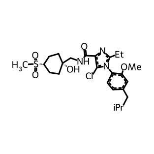 CCc1nc(C(=O)NC[C@]2(O)CC[C@@H](S(C)(=O)=O)CC2)c(Cl)n1-c1ccc(CC(C)C)cc1OC